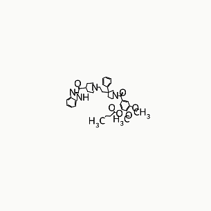 CCCC(=O)Oc1cc(C(=O)N2CCC(CCN3CCC(C(=O)c4nc5ccccc5[nH]4)CC3)(c3ccccc3)C2)cc(OC)c1OC